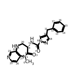 CN1C(=O)[C@@H](NC(=O)n2cc(Cc3ccccc3)cn2)CNc2cnccc21